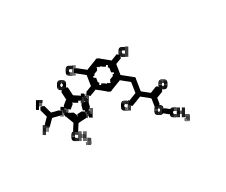 COC(=O)C(Cl)Cc1cc(-n2nc(C)n(C(F)F)c2=O)c(Cl)cc1Cl